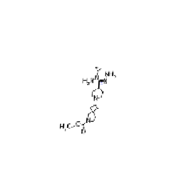 CCOC(=O)N1CCC2(CC(N3CCC(/C(=N/N)N(N)C4CC4)CC3)C2)C1